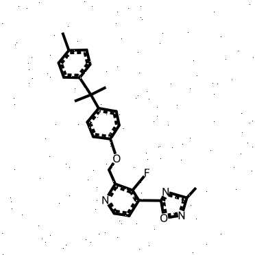 Cc1ccc(C(C)(C)c2ccc(OCc3nccc(-c4nc(C)no4)c3F)cc2)cc1